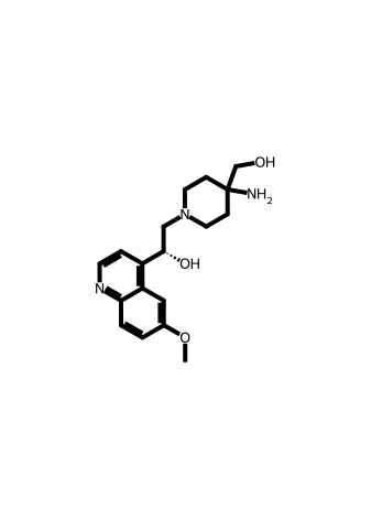 COc1ccc2nccc([C@@H](O)CN3CCC(N)(CO)CC3)c2c1